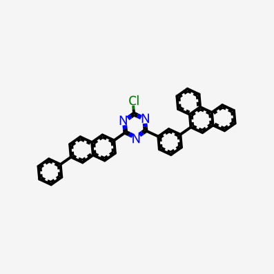 Clc1nc(-c2cccc(-c3cc4ccccc4c4ccccc34)c2)nc(-c2ccc3cc(-c4ccccc4)ccc3c2)n1